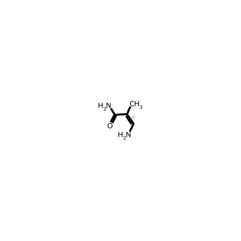 C/C(=C/N)C(N)=O